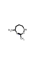 C/C1=N/C(C)CCCNO1